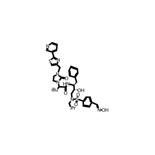 CCC(C)C(C(=O)N[C@@H](Cc1ccccc1)[C@H](O)CN(CC(C)C)S(=O)(=O)c1ccc(/C=N/O)cc1)N1CCN(Cc2csc(-c3cccnc3)n2)C1=O